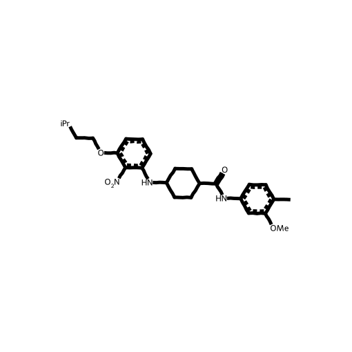 COc1cc(NC(=O)C2CCC(Nc3cccc(OCCC(C)C)c3[N+](=O)[O-])CC2)ccc1C